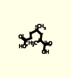 CC(CCC(=O)O)CC(C)C(=O)O